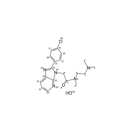 CN(C)CCN(C)C(=O)Cn1c(-c2ccc(Cl)cc2)nc2cccnc21.Cl